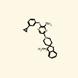 Nc1nc(N2CCC3(CC2)Cc2ccccc2[C@H]3N)cnc1Sc1cccc(C2CC2)c1